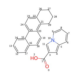 O=C(O)c1cc2ccccn2c1.c1ccc2c(c1)ccc1c3c(ccc12)CCCC3